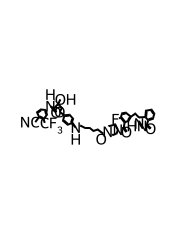 C[C@](O)(COc1ccc(NCCCCCC(=O)N2CCN(C(=O)c3cc(Cc4n[nH]c(=O)c5ccccc45)ccc3F)CC2)cc1)C(=O)Nc1ccc(C#N)c(C(F)(F)F)c1